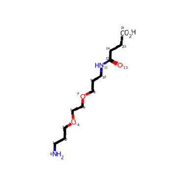 NCCCOCCOCCCNC(=O)CCC(=O)O